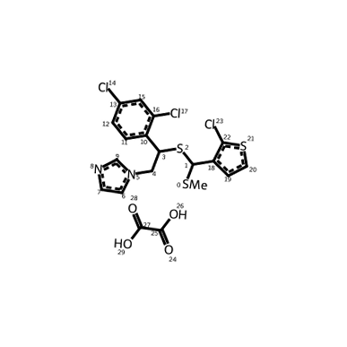 CSC(SC(Cn1ccnc1)c1ccc(Cl)cc1Cl)c1ccsc1Cl.O=C(O)C(=O)O